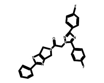 O=C(Cn1nc(-c2ccc(F)cc2)nc1-c1ccc(F)cc1)N1Cc2nc(-c3ccccc3)sc2C1